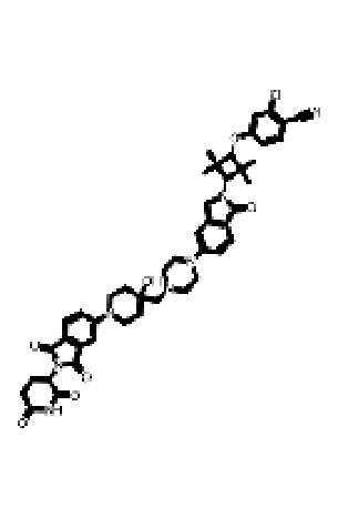 CC1(C)[C@H](Oc2ccc(C#N)c(Cl)c2)C(C)(C)[C@H]1N1Cc2cc(N3CCN(CC4(O)CCN(c5ccc6c(c5)C(=O)N(C5CCC(=O)NC5=O)C6=O)CC4)CC3)ccc2C1=O